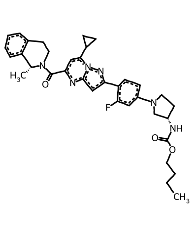 CCCCOC(=O)N[C@H]1CCN(c2ccc(-c3cc4nc(C(=O)N5CCc6ccccc6[C@H]5C)cc(C5CC5)n4n3)c(F)c2)C1